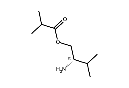 CC(C)C(=O)OC[C@@H](N)C(C)C